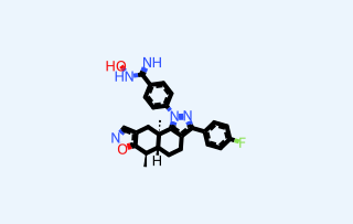 C[C@H]1c2oncc2C[C@@]2(C)c3c(c(-c4ccc(F)cc4)nn3-c3ccc(C(=N)NO)cc3)CC[C@H]12